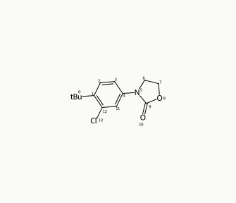 CC(C)(C)c1ccc(N2CCOC2=O)cc1Cl